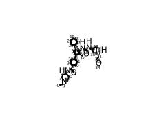 CCN1CCC(NC(=O)c2ccc(-c3nn(-c4ccccc4)c(NC(=O)N[C@H]4CN[C@H](CCOC)C4)c3C)cc2)CC1